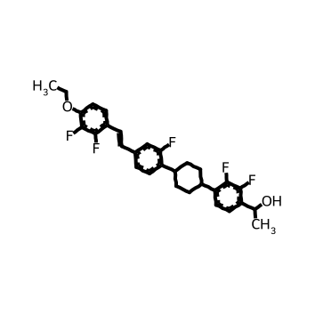 CCOc1ccc(/C=C/c2ccc(C3CCC(c4ccc(C(C)O)c(F)c4F)CC3)c(F)c2)c(F)c1F